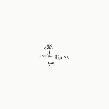 COP(=O)(O)OC.O.O.O